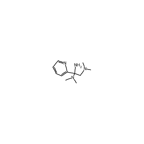 CN(C)CC(N)(c1ccccn1)N(C)C